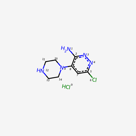 Cl.Nc1nnc(Cl)cc1N1CCNCC1